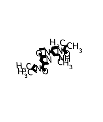 CNC1C=C(N2CCOc3cc(C(=O)N4CC(C)(C)C4)cnc32)C=CN1C(=O)C(C)C